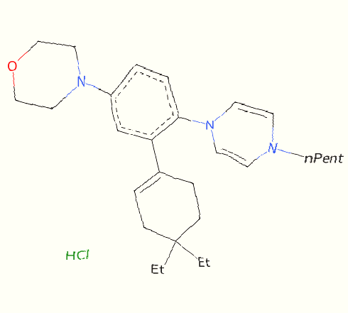 CCCCCN1C=CN(c2ccc(N3CCOCC3)cc2C2=CCC(CC)(CC)CC2)C=C1.Cl